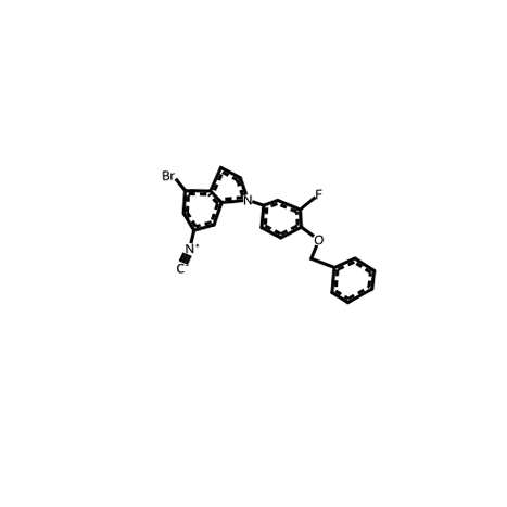 [C-]#[N+]c1cc(Br)c2ccn(-c3ccc(OCc4ccccc4)c(F)c3)c2c1